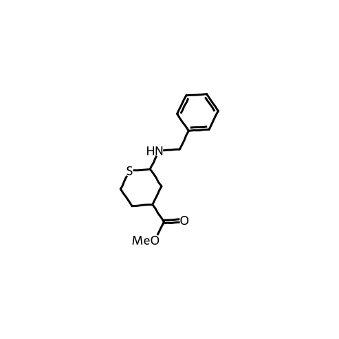 COC(=O)C1CCSC(NCc2ccccc2)C1